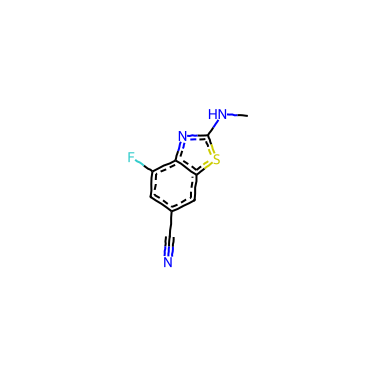 CNc1nc2c(F)cc(C#N)cc2s1